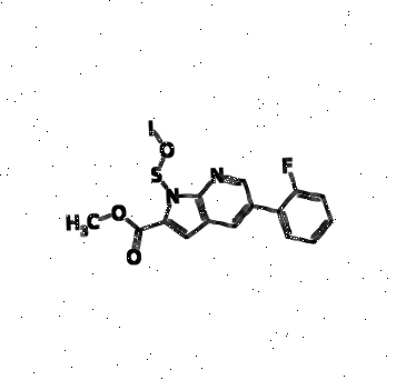 COC(=O)c1cc2cc(-c3ccccc3F)cnc2n1SOI